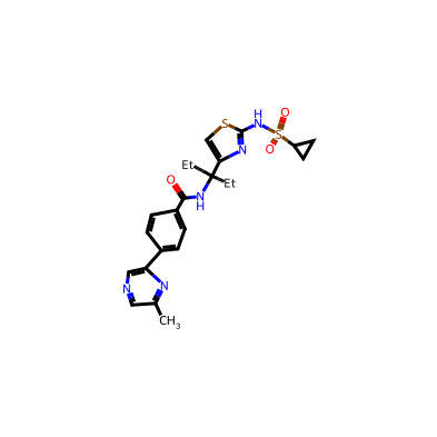 CCC(CC)(NC(=O)c1ccc(-c2cncc(C)n2)cc1)c1csc(NS(=O)(=O)C2CC2)n1